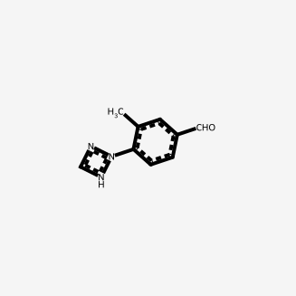 Cc1cc(C=O)ccc1-n1nc[nH]1